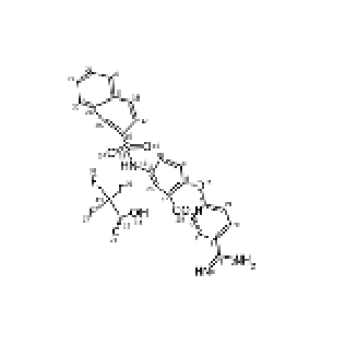 N=C(N)c1ccc(Oc2ccc(NS(=O)(=O)c3ccc4ccccc4c3)cc2C(=O)O)cc1.O=C(O)C(F)(F)F